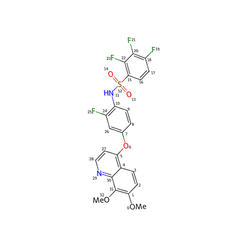 COc1ccc2c(Oc3ccc(NS(=O)(=O)c4ccc(F)c(F)c4F)c(F)c3)ccnc2c1OC